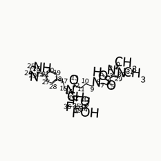 Cc1nc(S(=O)(=O)CNCCCC(=O)N(C)CCc2ccc(C3=NCCN3)cc2)cn1C.O=C(O)C(F)(F)F